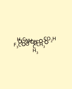 Cc1c(C)n(Cc2ccc(-c3ccccc3C(=O)O)cc2)c2ccc(C(=O)N[C@H](C)c3cccc(C(F)(F)F)c3Cl)cc12